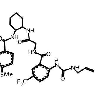 C=CCNC(=O)Nc1ccc(C(F)(F)F)cc1C(=O)NCC(=O)NC1CCCCC1NC(=O)c1ccc(SC)cc1